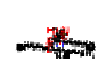 CCCCCCCCCCCCC(OC(=O)CCCCCCCCc1ccccc1)C(=O)N[C@@H]1[C@@H](OC(=O)CCCCCCCCc2ccccc2)[C@H](OS(=O)(=O)O)[C@@H](CO)O[C@@H]1O.[NaH]